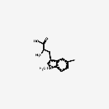 Cc1ccc2[nH]cc(CC(N)C(=O)O)c2c1.O